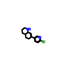 Clc1ccc(C2=CC3NCCCC3CC2)cn1